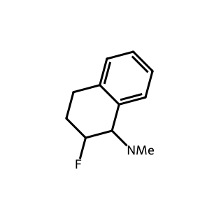 CNC1c2ccccc2CCC1F